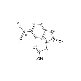 O=C(O)Cn1c(=O)oc2ccc([N+](=O)[O-])cc21